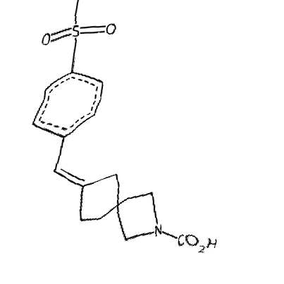 CS(=O)(=O)c1ccc(C=C2CC3(C2)CN(C(=O)O)C3)cc1